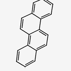 [c]1ccc2c(c1)ccc1c3cc[c]cc3ccc21